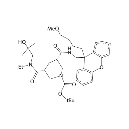 CCN(CC(C)(C)O)C(=O)[C@@H]1C[C@H](C(=O)NCC2(CCCCOC)c3ccccc3Oc3ccccc32)CN(C(=O)OC(C)(C)C)C1